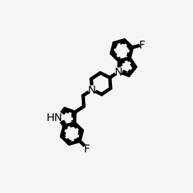 Fc1ccc2[nH]cc(CCN3CCC(n4ccc5c(F)cccc54)CC3)c2c1